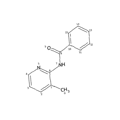 Cc1cccnc1NC(=O)c1[c]cccc1